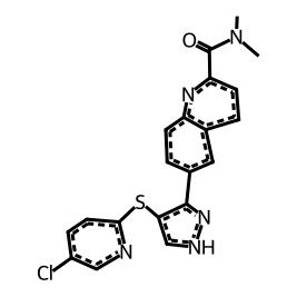 CN(C)C(=O)c1ccc2cc(-c3n[nH]cc3Sc3ccc(Cl)cn3)ccc2n1